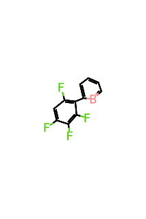 Fc1cc(F)c(-c2bcccc2)c(F)c1F